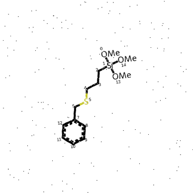 CO[Si](CCCSCc1ccccc1)(OC)OC